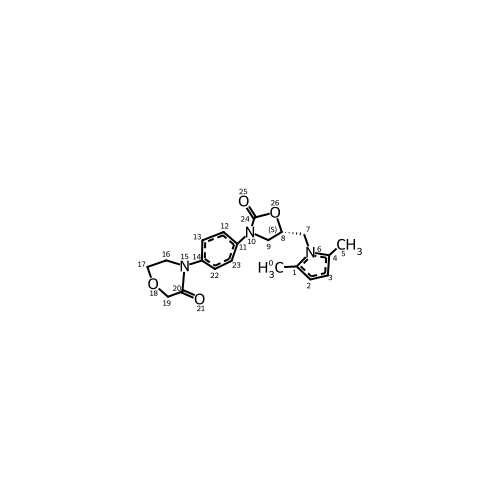 Cc1ccc(C)n1C[C@@H]1CN(c2ccc(N3CCOCC3=O)cc2)C(=O)O1